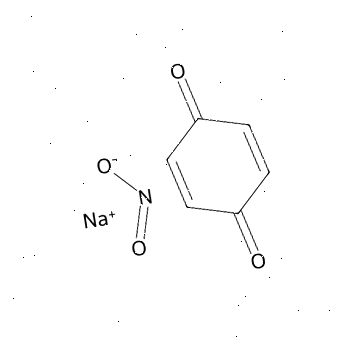 O=C1C=CC(=O)C=C1.O=N[O-].[Na+]